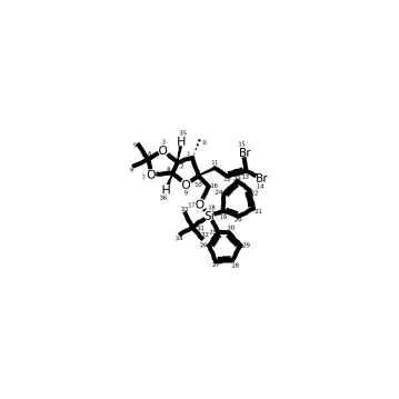 C[C@H]1[C@H]2OC(C)(C)O[C@H]2O[C@@]1(CC=C(Br)Br)CO[Si](c1ccccc1)(c1ccccc1)C(C)(C)C